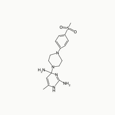 CC1=CC(N)(N2CCN(c3ccc(S(C)(=O)=O)cc3)CC2)N=C(N)N1